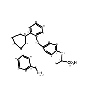 CC(Oc1ccc(Oc2ccccc2C2CCCCC2)cc1)C(=O)O.NCc1ccccc1